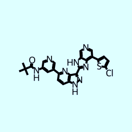 CC(C)(C)C(=O)Nc1cncc(-c2ccc3[nH]nc(-c4nc5c(-c6ccc(Cl)s6)cncc5[nH]4)c3n2)c1